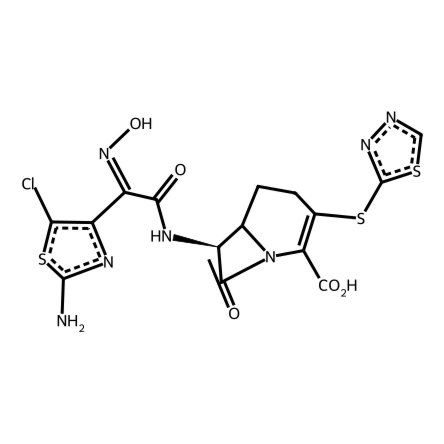 Nc1nc(/C(=N/O)C(=O)N[C@@H]2C(=O)N3C(C(=O)O)=C(Sc4nncs4)CCC23)c(Cl)s1